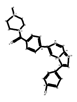 CN1CCN(C(=O)c2ccc(-c3cn4c(-c5ccc(Cl)cc5)cnc4cn3)cc2)CC1